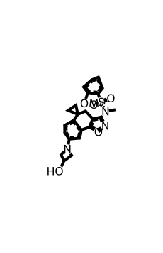 COc1ccccc1S(=O)(=O)N(C)c1noc2c1CC1(CC1)c1ccc(N3CC(O)C3)cc1-2